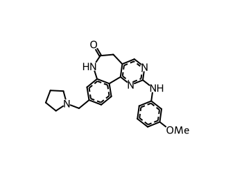 COc1cccc(Nc2ncc3c(n2)-c2ccc(CN4CCCC4)cc2NC(=O)C3)c1